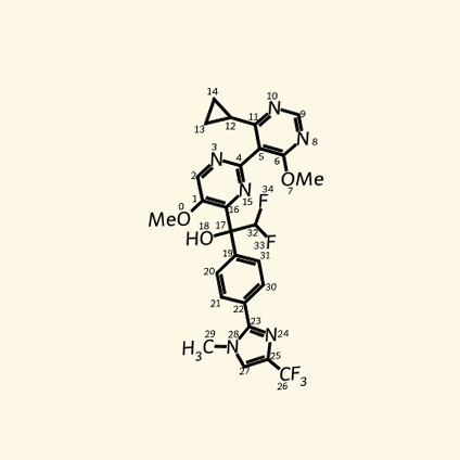 COc1cnc(-c2c(OC)ncnc2C2CC2)nc1C(O)(c1ccc(-c2nc(C(F)(F)F)cn2C)cc1)C(F)F